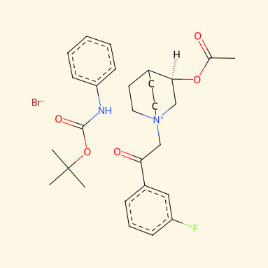 CC(=O)O[C@H]1C[N+]2(CC(=O)c3cccc(F)c3)CCC1CC2.CC(C)(C)OC(=O)Nc1ccccc1.[Br-]